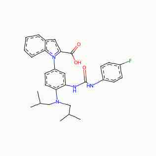 CC(C)CN(CC(C)C)c1ccc(-n2c(C(=O)O)cc3ccccc32)cc1NC(=O)Nc1ccc(F)cc1